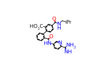 CC(C)CNC(=O)c1ccc(-c2ccccc2C(=O)Nc2ccc(C(=N)N)nc2)c(C(=O)O)c1